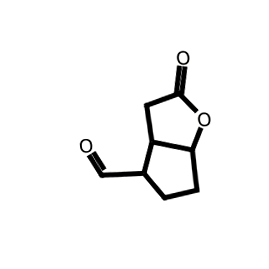 O=CC1CCC2OC(=O)CC12